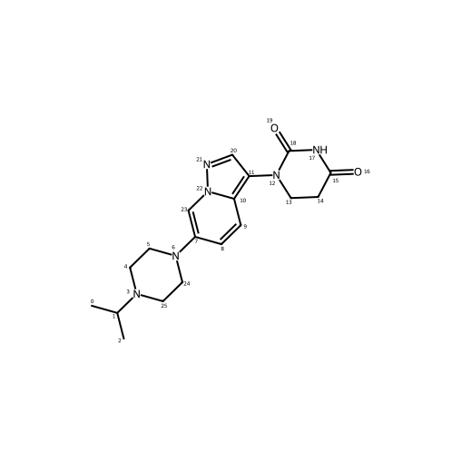 CC(C)N1CCN(c2ccc3c(N4CCC(=O)NC4=O)cnn3c2)CC1